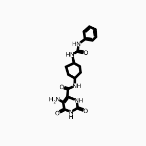 Nc1c(C(=O)NC2CCC(NC(=O)Nc3ccccc3)CC2)[nH]c(=O)[nH]c1=O